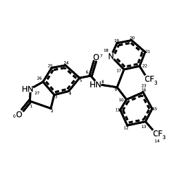 O=C1Cc2cc(C(=O)NC(c3ccc(C(F)(F)F)cc3)c3ncccc3C(F)(F)F)ccc2N1